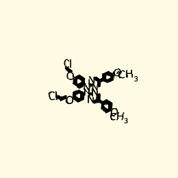 COc1ccc(-c2cnc(N(c3ccc(OCCCl)cc3)N(c3ccc(OCCCl)cc3)c3ncc(-c4ccc(OC)cc4)cn3)nc2)cc1